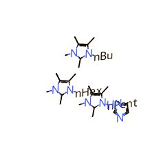 CCCCCCN1C(C)=C(C)N(C)C1C.CCCCCN1C(C)=C(C)N(C)C1C.CCCCN1C(C)=C(C)N(C)C1C.c1c[nH]cn1